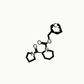 O=C([C@@H]1CCCCN1C(=O)OCc1ccccc1)N1CCCC1